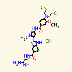 COc1cc(C(=O)Nc2cc(-c3nc4cc(C(=O)NCCC(=N)N)ccc4[nH]3)n(C)c2)ccc1N(CCCl)CCCl.Cl